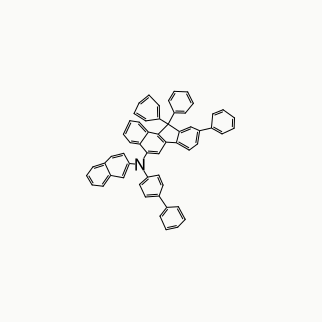 c1ccc(-c2ccc(N(c3ccc4ccccc4c3)c3cc4c(c5ccccc35)C(c3ccccc3)(c3ccccc3)c3cc(-c5ccccc5)ccc3-4)cc2)cc1